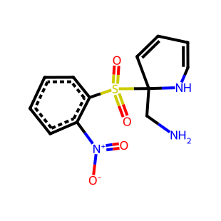 NCC1(S(=O)(=O)c2ccccc2[N+](=O)[O-])C=CC=CN1